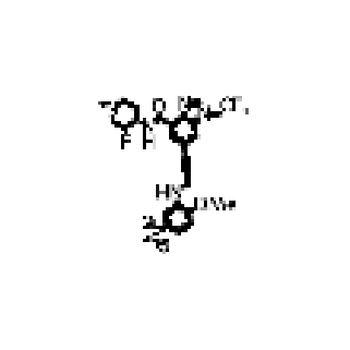 COc1ccc(S(C)(=O)=O)cc1NCC#Cc1cc(C(=O)N[C@@H]2CCN(C)C[C@@H]2F)c2ncn(CC(F)(F)F)c2c1